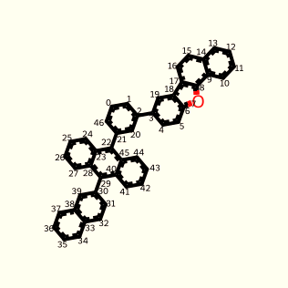 c1cc(-c2ccc3oc4c5ccccc5ccc4c3c2)cc(-c2c3ccccc3c(-c3ccc4ccccc4c3)c3ccccc23)c1